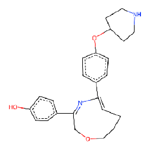 Oc1ccc(/C2=N/C(c3ccc(OC4CCNCC4)cc3)=C/CCCOC2)cc1